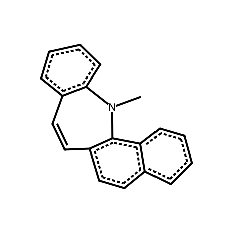 CN1c2ccccc2C=Cc2ccc3ccccc3c21